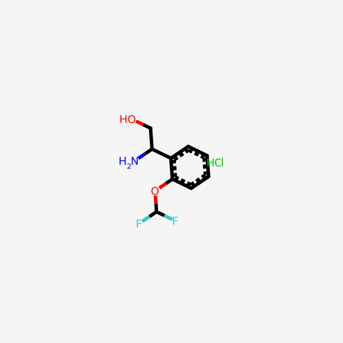 Cl.NC(CO)c1ccccc1OC(F)F